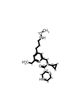 CCc1cc(CCCNOC)cc(CN(C(=O)[C@H]2CNCCO2)C2CC2)n1